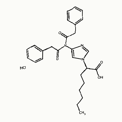 CCCCCCC(C(=O)O)n1cnc(N(C(=O)Cc2ccccc2)C(=O)Cc2ccccc2)c1.Cl